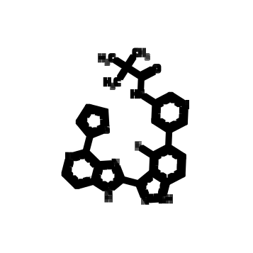 CC(C)(C)C(=O)Nc1cncc(-c2ccc3[nH]nc(-c4nc5c(-c6cccs6)nccc5[nH]4)c3c2F)c1